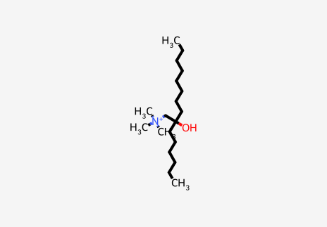 CCCCCCCCC(O)(CCCCCC)C[N+](C)(C)C